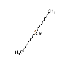 CCCCCCCCCCCCSCCCCCCCCCCCC.[Ca]